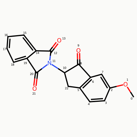 COc1ccc2c(c1)C(=O)C(N1C(=O)c3ccccc3C1=O)C2